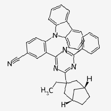 CCC1(c2nc(-c3ccccc3)nc(-c3cc(C#N)ccc3-n3c4ccccc4c4ccccc43)n2)C[C@@H]2CC[C@@H](C2)C1